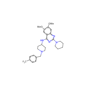 COc1cc2nc(N3CCCCC3)nc(NC3CCN(Cc4ccc(C(F)(F)F)cc4)CC3)c2cc1OC